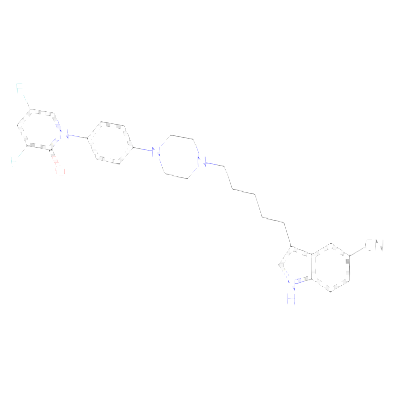 N#Cc1ccc2[nH]cc(CCCCCN3CCN(c4ccc(-n5cc(F)cc(F)c5=O)cc4)CC3)c2c1